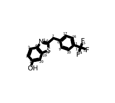 Oc1ccc2nc(Cc3ccc(C(F)(F)F)cc3)sc2c1